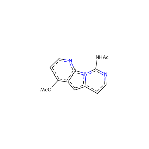 COc1ccnc2c1cc1ccnc(NC(C)=O)n12